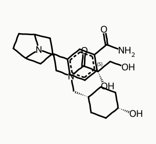 NC(=O)c1cccc(C2CC3CCC(C2)N3CCN(C[C@H]2CC[C@@H](O)CC2)C(=O)[C@@H](O)CO)c1